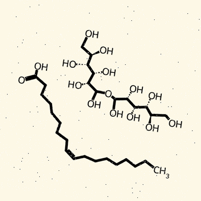 CCCCCCCC/C=C\CCCCCCCC(=O)O.OC[C@@H](O)[C@@H](O)[C@H](O)[C@@H](O)C(O)OC(O)[C@H](O)[C@@H](O)[C@H](O)[C@H](O)CO